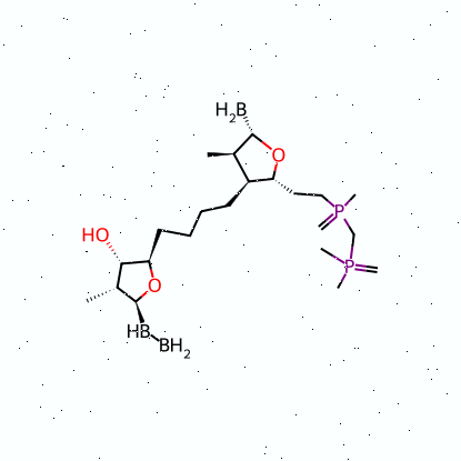 BB[C@@H]1O[C@H](CCCC[C@H]2[C@@H](C)[C@H](B)O[C@@H]2CCP(=C)(C)CP(=C)(C)C)[C@@H](O)[C@H]1C